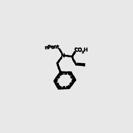 C=CC(C(=O)O)N(CCCCC)Cc1ccccc1